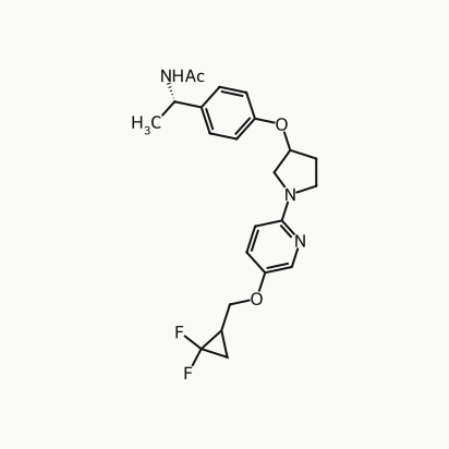 CC(=O)N[C@@H](C)c1ccc(OC2CCN(c3ccc(OCC4CC4(F)F)cn3)C2)cc1